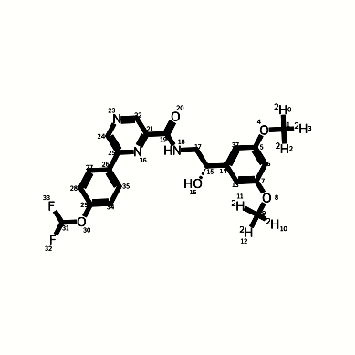 [2H]C([2H])([2H])Oc1cc(OC([2H])([2H])[2H])cc([C@H](O)CNC(=O)c2cncc(-c3ccc(OC(F)F)cc3)n2)c1